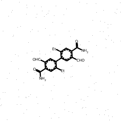 CCc1cc(C(N)=O)c(C=O)cc1-c1cc(C=O)c(C(N)=O)cc1CC